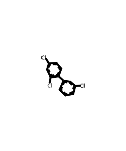 Clc1cccc(-c2ccc(Cl)cc2Cl)c1